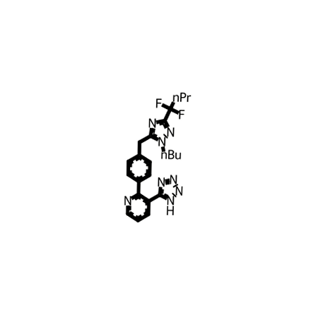 CCCCn1nc(C(F)(F)CCC)nc1Cc1ccc(-c2ncccc2-c2nnn[nH]2)cc1